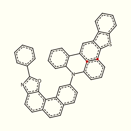 c1ccc(-c2nc3ccc4ccc5ccc(N(c6ccccc6)c6ccccc6-c6ccc7sc8ccccc8c7c6)cc5c4c3o2)cc1